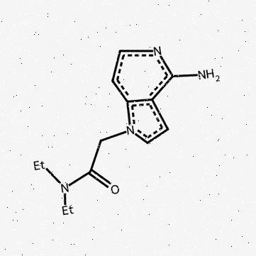 CCN(CC)C(=O)Cn1ccc2c(N)nccc21